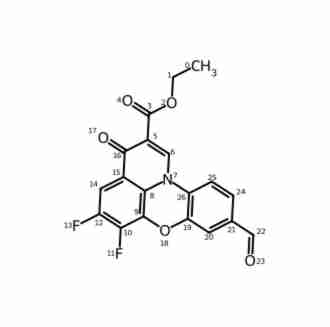 CCOC(=O)c1cn2c3c(c(F)c(F)cc3c1=O)Oc1cc(C=O)ccc1-2